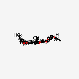 CCCCNC(=O)CC[C@@H](C)C1CCC2C3CCC4CC(OC(=O)Cn5cc(-c6ccc7c8ccc(-c9cn(CC(=O)OC%10CCC%11(C)C%12CCC%13(C)C(CC%13[C@H](C)CCC(=O)O)[C@@H]%12C[C@H](C)[C@@H]%11C%10)nn9)cc8n(CCN(C)Cl)c7c6)nn5)CCC4(C)C3CCC21C